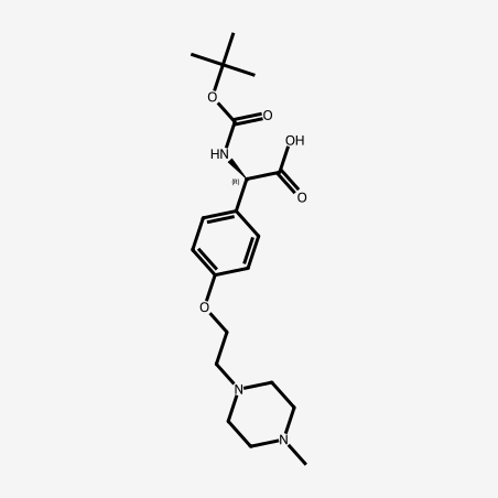 CN1CCN(CCOc2ccc([C@@H](NC(=O)OC(C)(C)C)C(=O)O)cc2)CC1